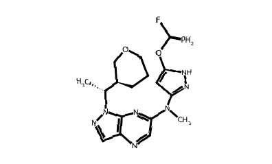 C[C@H]([C@@H]1CCCOC1)n1ncc2ncc(N(C)c3cc(OC(F)P)[nH]n3)nc21